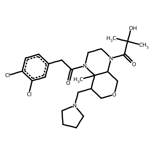 CC(C)(O)C(=O)N1CCN(C(=O)Cc2ccc(Cl)c(Cl)c2)C2(C)C(CN3CCCC3)COCC12